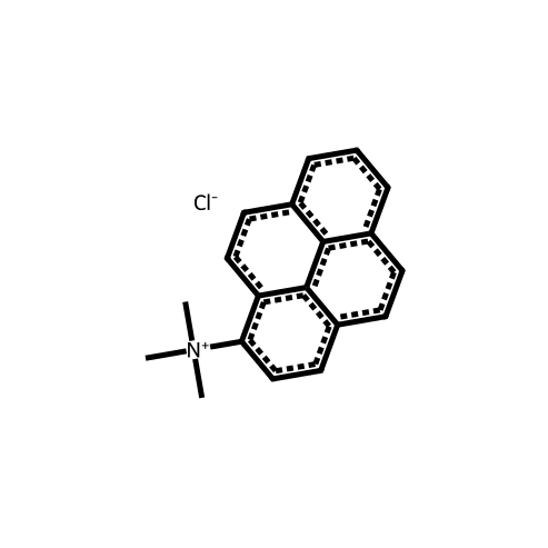 C[N+](C)(C)c1ccc2ccc3cccc4ccc1c2c34.[Cl-]